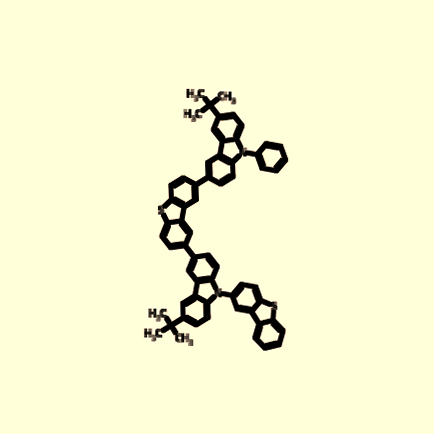 CC(C)(C)c1ccc2c(c1)c1cc(-c3ccc4sc5ccc(-c6ccc7c(c6)c6cc(C(C)(C)C)ccc6n7-c6ccc7sc8ccccc8c7c6)cc5c4c3)ccc1n2-c1ccccc1